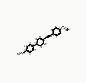 CCCOc1ccc(C#CC2=CCC(c3ccc(CCC)cc3)CC2)cc1